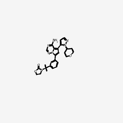 CC(C)(c1cccc(-c2cc(-c3ccnn3C3CCOCC3)c3c(N)ncnn23)c1)N1CCOC1=O